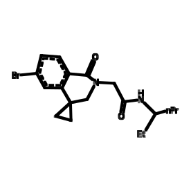 CCCC(CC)NC(=O)CN1CC2(CC2)c2cc(Br)ccc2C1=O